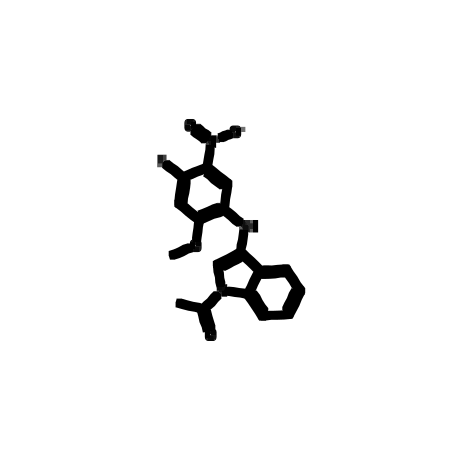 COc1cc(F)c([N+](=O)[O-])cc1Nc1cn(C(C)=O)c2ccccc12